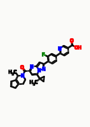 CC1C2=C(CC=C2)CCN1C(=O)c1cc(C2(C)CC2)n2nc(-c3ccc(-c4ccc(C(=O)O)cn4)cc3F)cc2n1